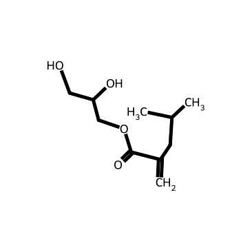 C=C(CC(C)C)C(=O)OCC(O)CO